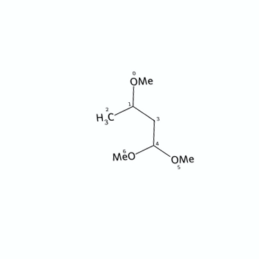 COC(C)CC(OC)OC